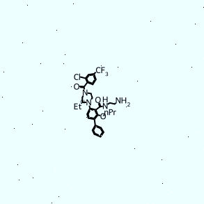 CCCOc1c(-c2ccccc2)ccc(N2CCN(C(=O)c3ccc(C(F)(F)F)cc3Cl)C[C@H]2CC)c1C(=O)NCCN